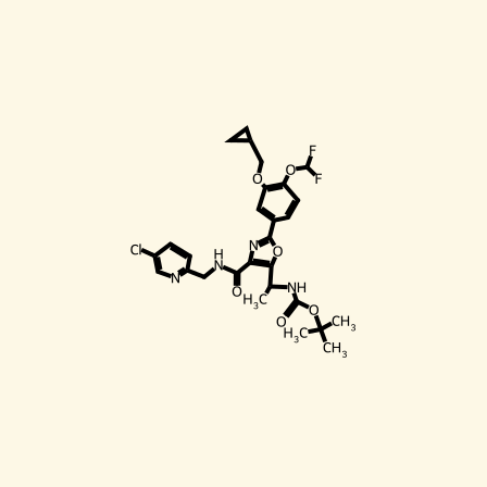 CC(NC(=O)OC(C)(C)C)c1oc(-c2ccc(OC(F)F)c(OCC3CC3)c2)nc1C(=O)NCc1ccc(Cl)cn1